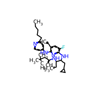 C#Cc1cc(F)c(NC(CC2CC2)C(CC)NC(=C)CC(C)(C)C)nc1Nc1ccnc(CCCCC)c1